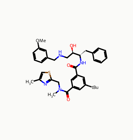 COc1cccc(CNC[C@@H](O)[C@H](Cc2ccccc2)NC(=O)c2cc(C(=O)N(C)Cc3nc(C)cs3)cc(C(C)(C)C)c2)c1